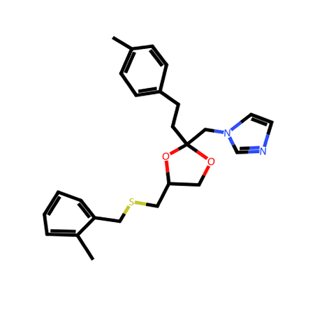 Cc1ccc(CCC2(Cn3ccnc3)OCC(CSCc3ccccc3C)O2)cc1